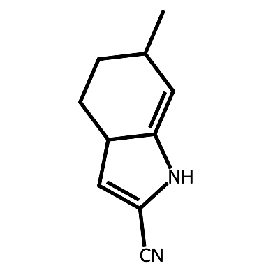 CC1C=C2NC(C#N)=CC2CC1